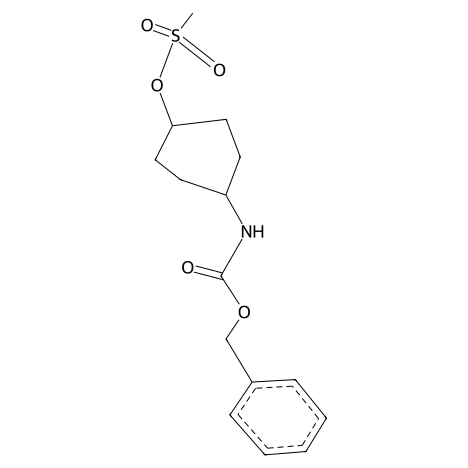 CS(=O)(=O)OC1CCC(NC(=O)OCc2ccccc2)CC1